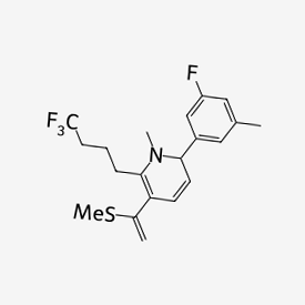 C=C(SC)C1=C(CCCC(F)(F)F)N(C)C(c2cc(C)cc(F)c2)C=C1